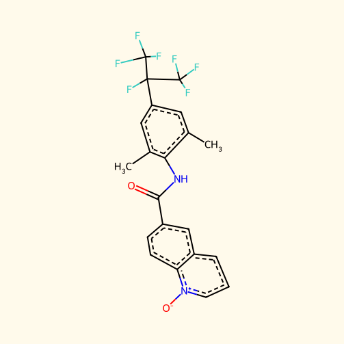 Cc1cc(C(F)(C(F)(F)F)C(F)(F)F)cc(C)c1NC(=O)c1ccc2c(ccc[n+]2[O-])c1